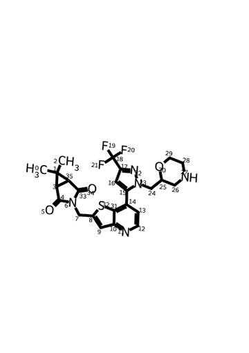 CC1(C)C2C(=O)N(Cc3cc4nccc(-c5cc(C(F)(F)F)nn5CC5CNCCO5)c4s3)C(=O)C21